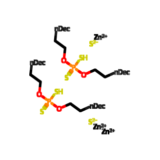 CCCCCCCCCCCCOP(=S)(S)OCCCCCCCCCCCC.CCCCCCCCCCCCOP(=S)(S)OCCCCCCCCCCCC.[S-2].[S-2].[Zn+2].[Zn+2].[Zn+2]